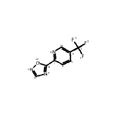 FC(F)(F)c1ccc(-c2ncno2)nc1